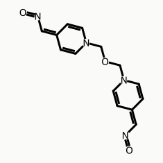 O=NC=C1C=CN(COCN2C=CC(=CN=O)C=C2)C=C1